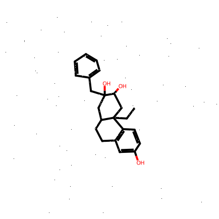 CCC12CC(O)C(O)(Cc3ccccc3)CC1CCc1cc(O)ccc12